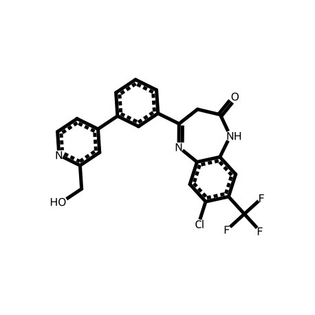 O=C1CC(c2cccc(-c3ccnc(CO)c3)c2)=Nc2cc(Cl)c(C(F)(F)F)cc2N1